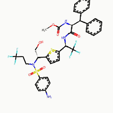 COC(=O)N[C@H](C(=O)N[C@H](c1ccc([C@@H](CO)N(CCC(F)(F)F)S(=O)(=O)c2ccc(N)cc2)s1)C(F)(F)F)C(c1ccccc1)c1ccccc1